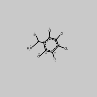 BC(CC)c1c(Cl)c(Cl)c(Cl)c(Cl)c1Cl